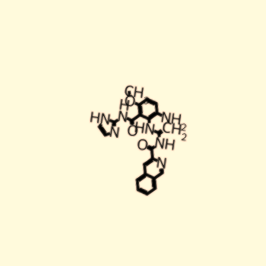 C=C(NC(=O)c1cc2ccccc2cn1)Nc1c(N)ccc(OC)c1C(=O)Nc1ncc[nH]1